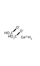 O=C([O-])O.O=C([O-])O.[GeH2+2]